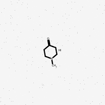 CN1CCC(=O)CC1.I